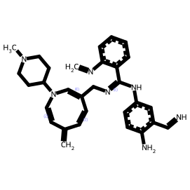 C=Nc1ccccc1/C(=N\CC1=C/N(C2CCN(C)CC2)/C=C\C(=C)/C=C\1)Nc1ccc(N)c(C=N)c1